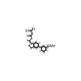 CCN(CC)SNCC(C)N1CCc2cc(-c3cccc(OC)c3)ccc21